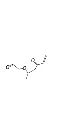 C=CC(=O)CC(C)OCC=O